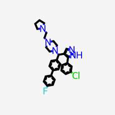 Fc1ccc(-c2ccc(C(c3cn[nH]c3-c3cccc(Cl)c3)N3CCN(CCN4CCCC4)CC3)cc2)cc1